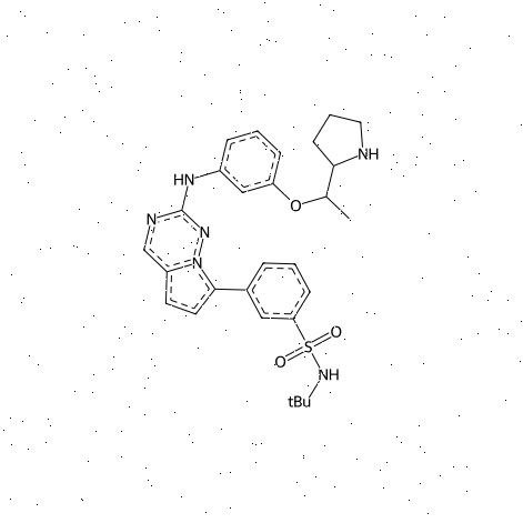 CC(Oc1cccc(Nc2ncc3ccc(-c4cccc(S(=O)(=O)NC(C)(C)C)c4)n3n2)c1)C1CCCN1